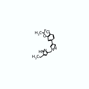 CCc1cc(Cn2cc(-c3ccc(Cl)c(OC(C)F)c3)cn2)n[nH]1